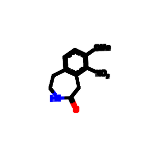 COc1ccc2c(c1[N+](=O)[O-])CC(=O)NCC2